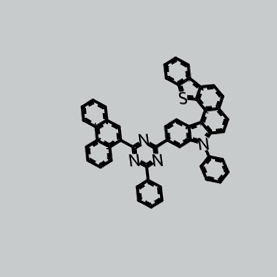 c1ccc(-c2nc(-c3ccc4c5c6c(ccc7c8ccccc8sc76)ccc5n(-c5ccccc5)c4c3)nc(-c3cc4ccccc4c4ccccc34)n2)cc1